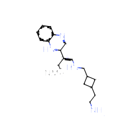 CNC/C(=C\NCC1CC(CCN)C1)C1C=Nc2ccccc2N1